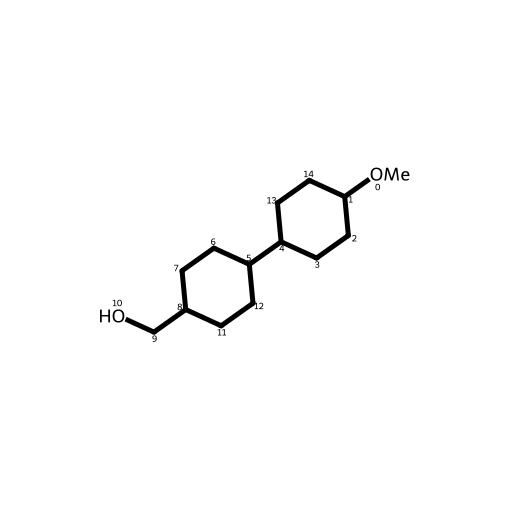 COC1CCC(C2CCC(CO)CC2)CC1